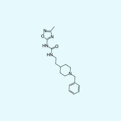 Cc1noc(NC(=O)NCCC2CCN(Cc3ccccc3)CC2)n1